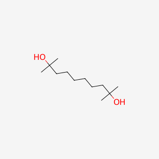 CC(C)(O)CCCCCCC(C)(C)O